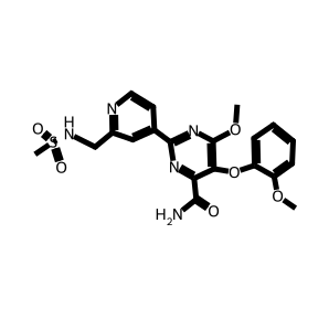 COc1ccccc1Oc1c(OC)nc(-c2ccnc(CNS(C)(=O)=O)c2)nc1C(N)=O